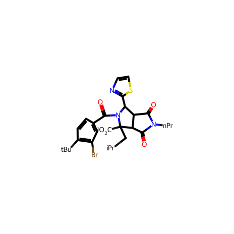 CCCN1C(=O)C2C(c3nccs3)N(C(=O)c3ccc(C(C)(C)C)c(Br)c3)C(CC(C)C)(C(=O)O)C2C1=O